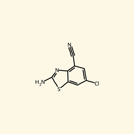 N#Cc1cc(Cl)cc2sc(N)nc12